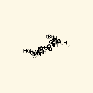 Cc1ccc(-n2nc(C(C)(C)C)cc2NC(=O)Nc2ccc(OCc3ccnc(Nc4cnc(C(=O)N5CCC(O)CC5)cn4)c3)c3ccccc23)cc1